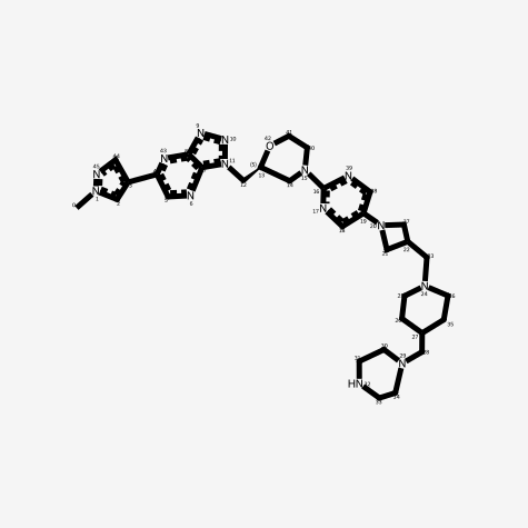 Cn1cc(-c2cnc3c(nnn3C[C@@H]3CN(c4ncc(N5CC(CN6CCC(CN7CCNCC7)CC6)C5)cn4)CCO3)n2)cn1